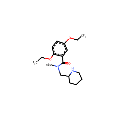 CCCCN(CC1CCCCN1)C(=O)c1cc(OCC(F)(F)F)ccc1OCC(F)(F)F